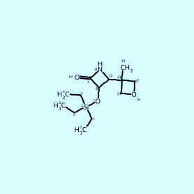 CC[Si](CC)(CC)OC1C(=O)NC1C1(C)COC1